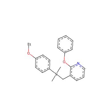 CCOc1ccc([Si](C)(C)Cc2cc[c]nc2Oc2ccccc2)cc1